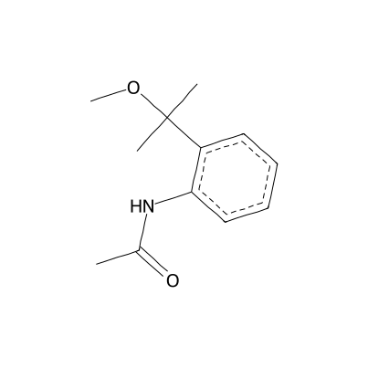 COC(C)(C)c1ccccc1NC(C)=O